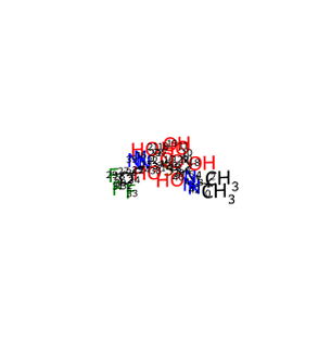 CC(C)c1cn(C2C(O)[C@@H](CO)O[C@@H](SC3OC(CO)C(O)C(n4cc(-c5cc(F)c(F)c(F)c5)nn4)C3O)C2O)nn1